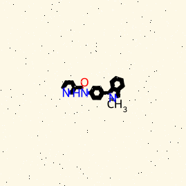 Cn1cc2ccccc2c1-c1ccc(NC(=O)c2cccnc2)cc1